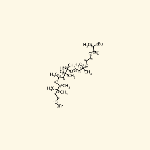 CC(C)OCCC(C)(C)C(C)OC(C)CC(C)(C)C(C)(I)OCCC(C)(C)OCCOC(=O)C(C)C(C)(C)C